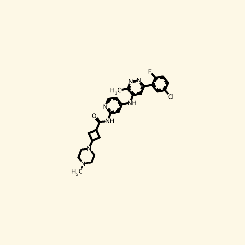 Cc1nnc(-c2cc(Cl)ccc2F)cc1Nc1ccnc(NC(=O)C2CC(N3CCN(C)CC3)C2)c1